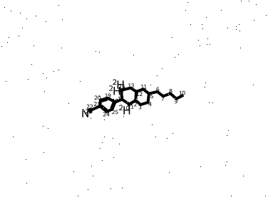 [2H]C1C2CCC(CCCCC)CC2CC([2H])([2H])C1c1ccc(C#N)cc1